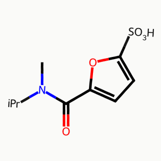 CC(C)N(C)C(=O)c1ccc(S(=O)(=O)O)o1